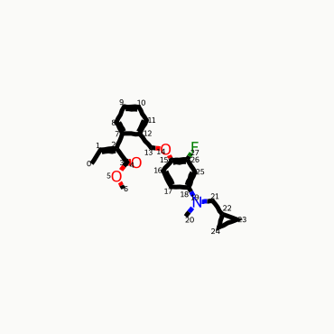 CC=C(C(=O)OC)c1ccccc1COc1ccc(N(C)CC2CC2)cc1F